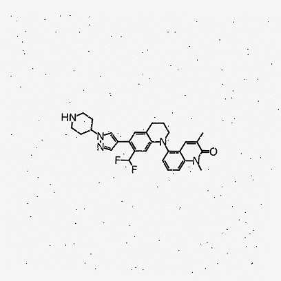 Cc1cc2c(N3CCCc4cc(-c5cnn(C6CCNCC6)c5)c(C(F)F)cc43)cccc2n(C)c1=O